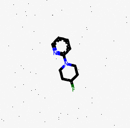 FC1CCN(c2cc[c]cn2)CC1